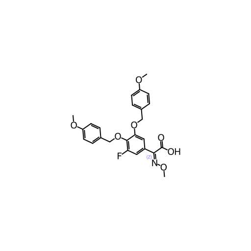 CO/N=C(\C(=O)O)c1cc(F)c(OCc2ccc(OC)cc2)c(OCc2ccc(OC)cc2)c1